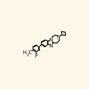 Cc1ccc(-c2ccc3c(c2)nc2n3CCN(C3CCC3)CC2)cc1F